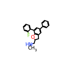 CNCC1Cc2cc(-c3ccccc3)cc(-c3ccccc3F)c2O1